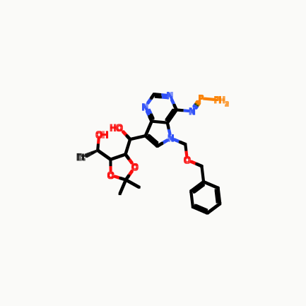 CC[C@@H](O)C1OC(C)(C)OC1C(O)c1cn(COCc2ccccc2)c2c(/N=P/P)ncnc12